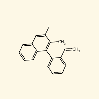 C=Cc1ccccc1-c1c(C)c(I)cc2ccccc12